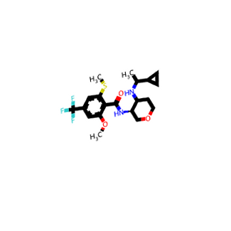 COc1cc(C(F)(F)F)cc(SC)c1C(=O)N[C@@H]1COCCC1NC(C)C1CC1